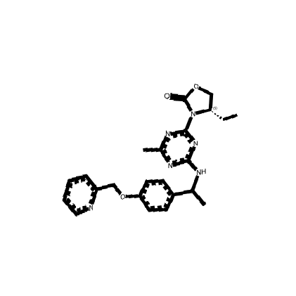 CC[C@H]1COC(=O)N1c1nc(C)nc(NC(C)c2ccc(OCc3ccccn3)cc2)n1